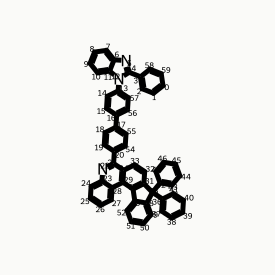 c1ccc(-c2nc3ccccc3n2-c2ccc(-c3ccc(-c4nc5ccccc5c5c6c(ccc45)C(c4ccccc4)(c4ccccc4)c4ccccc4-6)cc3)cc2)cc1